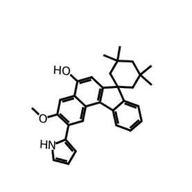 COc1cc2c(O)cc3c(c2cc1-c1ccc[nH]1)-c1ccccc1C31CC(C)(C)CC(C)(C)C1